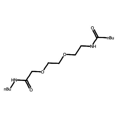 CCCCNC(=O)COCCOCCNC(=O)CCCC